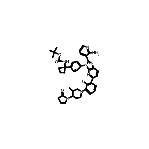 CC1CN(c2cccc(-c3ccc4nc(-c5cccnc5N)n(-c5ccc(C6(NC(=O)OC(C)(C)C)CCC6)cc5)c4n3)c2F)CCC1N1CCCC1=O